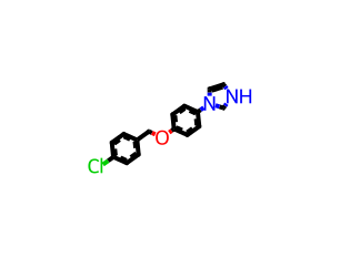 Clc1ccc(COc2ccc(N3C=CNC3)cc2)cc1